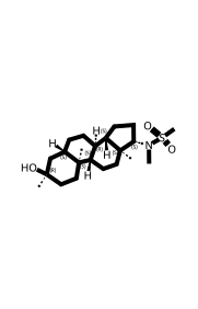 CN([C@H]1CC[C@H]2[C@@H]3CC[C@H]4C[C@](C)(O)CC[C@]4(C)[C@H]3CC[C@]12C)S(C)(=O)=O